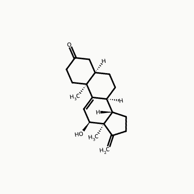 C=C1CC[C@H]2[C@@H]3CC[C@@H]4CC(=O)CC[C@]4(C)C3=C[C@H](O)[C@]12C